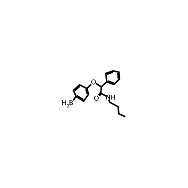 Bc1ccc(OC(C(=O)NCCCC)c2ccccc2)cc1